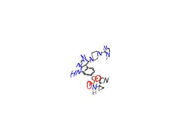 Cn1ccnc1N1CCN(c2ncnc3[nH]c4cc(S(=O)(=O)NC5(C#N)CC5)ccc4c23)CC1